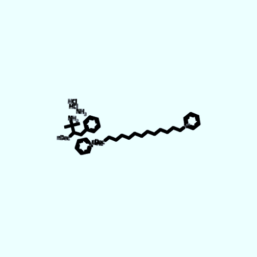 CC(=O)[n+]1ccccc1.CCCCCCCCCCC(Cc1ccccc1)C(C)(C)N.CCCCCCCCCCCCCCCCCCCCCC[n+]1ccccc1.Cl.Cl.N